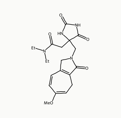 CCN(CC)C(=O)CC1(CN2CC3=C(CC=C(OC)C=C3)C2=O)NC(=O)NC1=O